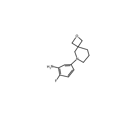 Nc1cc(N2CCCC3(COC3)C2)ccc1F